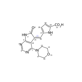 O=C1Nc2ncnc(N3CCOCC3)c2/C1=C/c1ccc(C(=O)O)[nH]1